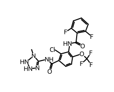 CN1NNN=C1NC(=O)c1ccc(OC(F)(F)F)c(NC(=O)c2c(F)cccc2F)c1Cl